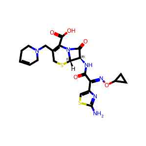 Nc1nc(C(=NOC2CC2)C(=O)N[C@@H]2C(=O)N3C(C(=O)O)=C(CN4CC=CCC4)CS[C@@H]23)cs1